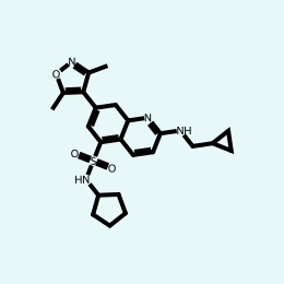 Cc1noc(C)c1C1=CC(S(=O)(=O)NC2CCCC2)=C2C=CC(NCC3CC3)=NC2C1